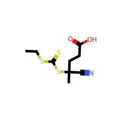 CCSC(=S)SC(C)(C#N)CCC(=O)O